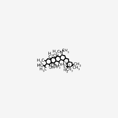 CC(O)C1C(C)CC2(C)CC3(C)CC4C(C(C)C(CC5CC(C)(C)CC(C)(C)C5)CC4N(C)C)C(O)C3C(C)C2(C)C1O